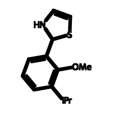 COc1c(C(C)C)cccc1C1NC=CS1